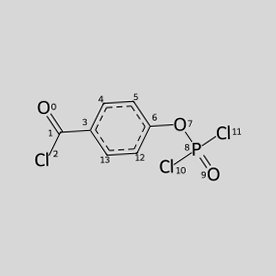 O=C(Cl)c1ccc(OP(=O)(Cl)Cl)cc1